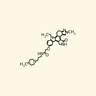 CCn1c2ccc(OCC(=O)NCCCN3CCN(C)CC3)cc2c2c3c(c4c(c21)CCc1nn(C)cc1-4)C(=O)NC3